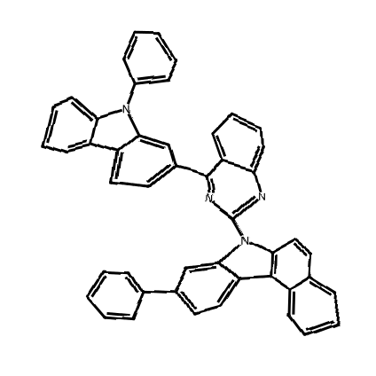 c1ccc(-c2ccc3c4c5ccccc5ccc4n(-c4nc(-c5ccc6c7ccccc7n(-c7ccccc7)c6c5)c5ccccc5n4)c3c2)cc1